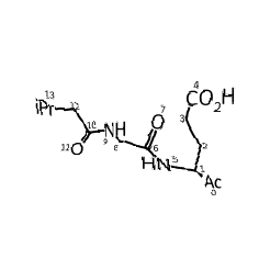 CC(=O)[C@H](CCC(=O)O)NC(=O)CNC(=O)CC(C)C